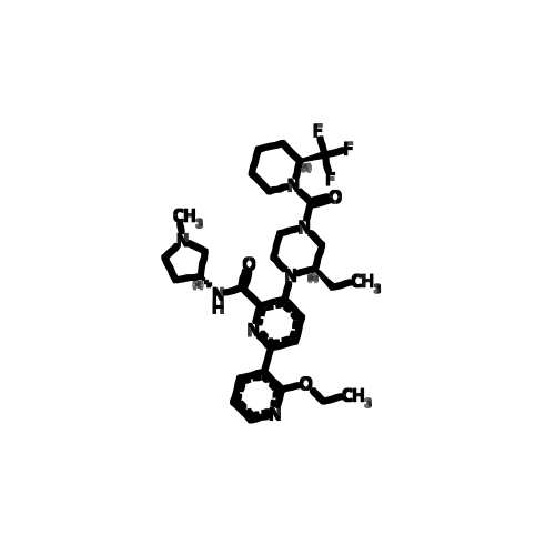 CCOc1ncccc1-c1ccc(N2CCN(C(=O)N3CCCC[C@H]3C(F)(F)F)C[C@H]2CC)c(C(=O)N[C@@H]2CCN(C)C2)n1